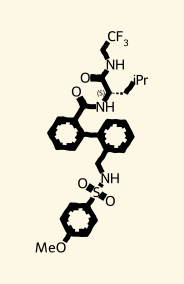 COc1ccc(S(=O)(=O)NCc2ccccc2-c2ccccc2C(=O)N[C@@H](CC(C)C)C(=O)NCC(F)(F)F)cc1